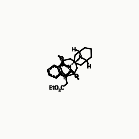 CCOC(=O)Cn1c(=O)n([C@H]2C[C@H]3CCC[C@@H](C2)N3[C@@H]2C[C@H](C)CC(C)C[C@H](C)C2)c(=O)c2ccccc21